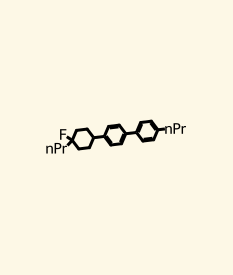 CCCc1ccc(-c2ccc(C3CCC(F)(CCC)CC3)cc2)cc1